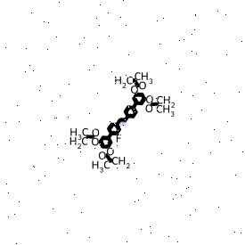 C=C(C)C(=O)Oc1cc(OC(=O)C(=C)C)cc(-c2ccc(/C=C/c3ccc(-c4cc(OC(=O)C(=C)C)cc(OC(=O)C(=C)C)c4)c(F)c3)cc2)c1